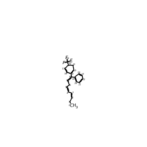 CC/C=C\C=C/C/C=C(/C1=CCC(C(F)(F)F)C=C1)c1ccccc1